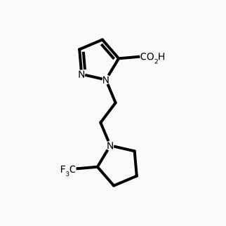 O=C(O)c1ccnn1CCN1CCCC1C(F)(F)F